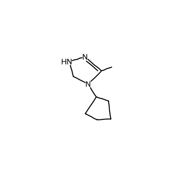 CC1=NNCN1C1CCCC1